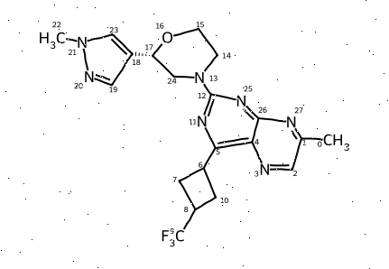 Cc1cnc2c(C3CC(C(F)(F)F)C3)nc(N3CCO[C@@H](c4cnn(C)c4)C3)nc2n1